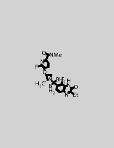 BC(B)(c1ccc2nc(CC)c(=O)[nH]c2c1F)N1C[C@H](Oc2ccc(C(=O)NC)nc2F)[C@H]1C